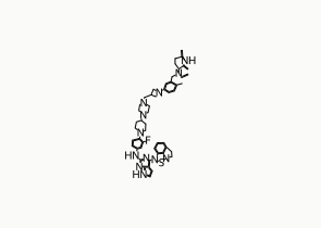 C=CN(Cc1cc(N2CC(CN3CCN(C4CCN(c5ccc(Nc6nc(N7SN8CCc9cccc7c98)c7cc[nH]c7n6)cc5F)CC4)CC3)C2)ccc1C)C1CCC(=C)NC1=C